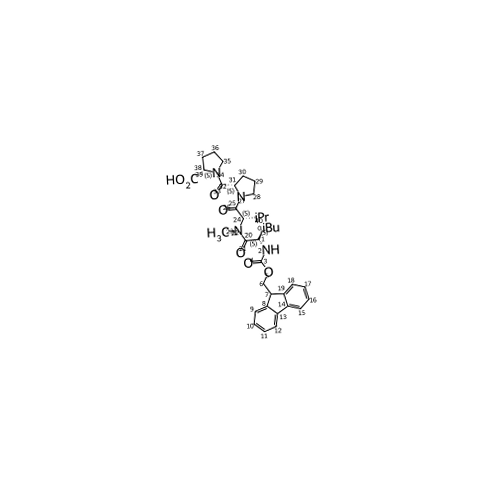 CC[C@H](C)[C@H](NC(=O)OCC1c2ccccc2-c2ccccc21)C(=O)N(C)[C@H](C(=O)N1CCC[C@H]1C(=O)N1CCC[C@H]1C(=O)O)C(C)C